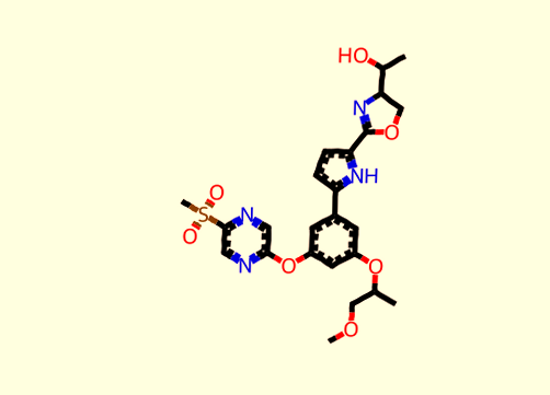 COCC(C)Oc1cc(Oc2cnc(S(C)(=O)=O)cn2)cc(-c2ccc(C3=NC(C(C)O)CO3)[nH]2)c1